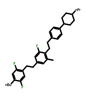 CCCCc1cc(F)c(CCc2cc(C)c(CCc3ccc(C4CCC(CCC)CC4)cc3)c(F)c2)cc1F